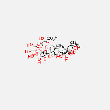 CC1(C)CC2C3=CCC4[C@@]5(C)CC[C@H](O[C@@H]6OC(C(=O)O)[C@@H](O)C(O[C@@H]7O[C@@H](CO)C(O)[C@@H]7O)[C@@H]6O[C@@H]6OC(CO)[C@H](O)C(O)[C@@H]6O)C(C)(C)C5CC[C@@]4(C)[C@]3(C)[C@@H](O)[C@@H](O)[C@@]2(CO)[C@@H](O)[C@@H]1O